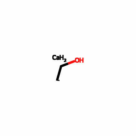 [CH2]CO.[CaH2]